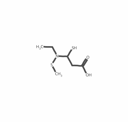 CCN(SC)C(S)CC(=O)O